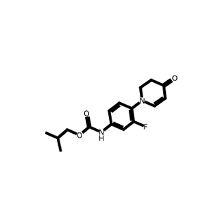 CC(C)COC(=O)Nc1ccc(N2C=CC(=O)CC2)c(F)c1